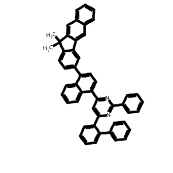 CC1(C)c2ccc(-c3ccc(-c4cc(-c5ccccc5-c5ccccc5)nc(-c5ccccc5)n4)c4ccccc34)cc2-c2cc3ccccc3cc21